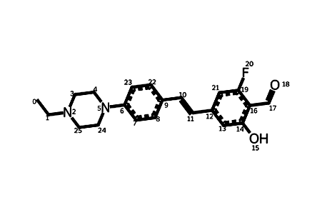 CCN1CCN(c2ccc(C=Cc3cc(O)c(C=O)c(F)c3)cc2)CC1